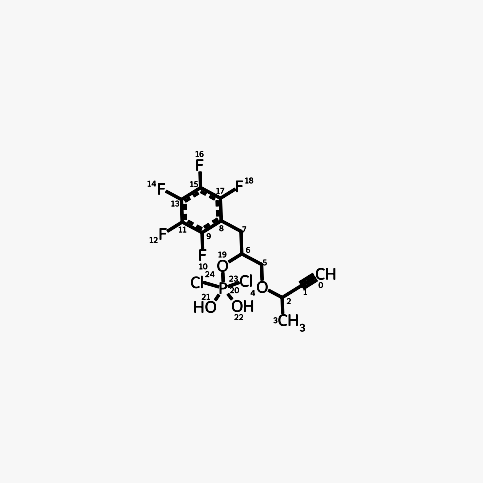 C#CC(C)OCC(Cc1c(F)c(F)c(F)c(F)c1F)OP(O)(O)(Cl)Cl